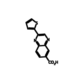 O=C(O)c1ccc2nc(-c3cccs3)cnc2c1